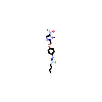 CCCCN/C=N/c1ccc(OCc2ncc([N+](=O)[O-])n2C)cc1